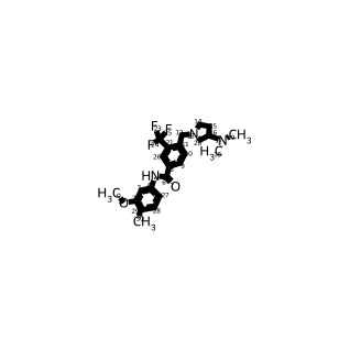 COc1cc(NC(=O)c2ccc(CN3CCC(N(C)C)C3)c(C(F)(F)F)c2)ccc1C